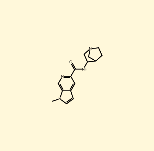 Cn1ccc2cc(C(=O)NC3CN4CCC3C4)ncc21